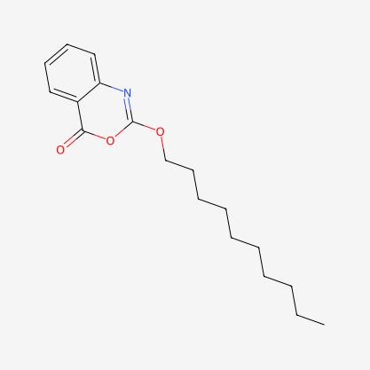 CCCCCCCCCCOc1nc2ccccc2c(=O)o1